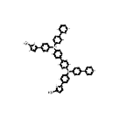 Cc1ccc(-c2ccc(N(c3ccc(-c4ccccc4)cc3)c3ccc(-c4ccc(N(c5ccc(-c6ccccc6)cc5)c5ccc(-c6ccc(C)s6)cc5)cc4)cc3)cc2)s1